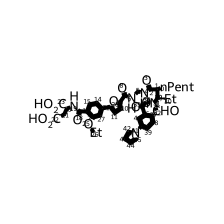 CCCCCC(C(=O)NCNC(=O)c1ccc(-c2ccc(C(=O)NC(CC(=O)O)C(=O)O)c(OCC)c2)o1)[C@@H](CC)N(C=O)OC(=O)c1cccc(-n2cccc2)c1